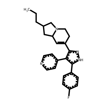 CCCC1CC2C=C(c3n[nH]c(-c4ccc(F)cc4)c3-c3ccncc3)CCN2C1